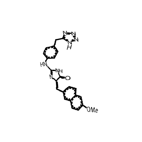 COc1ccc2cc(C=C3N=C(Nc4ccc(Cc5nnn[nH]5)cc4)NC3=O)ccc2c1